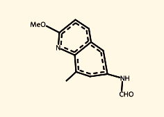 COc1ccc2cc(NC=O)cc(C)c2n1